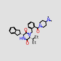 CCC(CC)[C@@H]1C(=O)N[C@H](C2Cc3ccccc3C2)C(=O)N1Cc1ccccc1C(=O)N1CCC(N(C)C)CC1